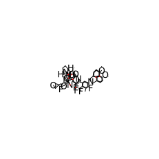 COc1ccc(CN(Cc2ccc(OC)cc2)c2cc(-c3nc4c5c(nc(OCC6(F)COC6)nc5c3F)N3C[C@H]5CC[C@@H]([C@H]3[C@H](C)O4)N5C(=O)OC(C)(C)C)c(C(F)(F)F)c(C)c2F)cc1